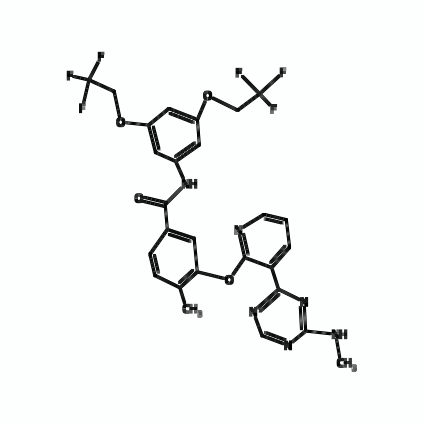 CNc1ncnc(-c2cccnc2Oc2cc(C(=O)Nc3cc(OCC(F)(F)F)cc(OCC(F)(F)F)c3)ccc2C)n1